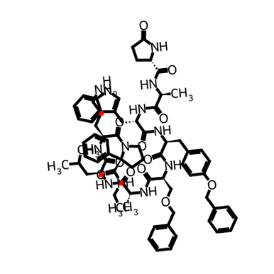 CCNC(=O)[C@]1(c2ccccc2)CCCN1C(=O)[C@H](CCCN)NC(=O)[C@H](CC(C)C)NC(=O)[C@@H](C)NC(=O)[C@H](COCc1ccccc1)NC(=O)[C@H](Cc1ccc(OCc2ccccc2)cc1)NC(=O)[C@H](Cc1c[nH]c2ccccc12)NC(=O)[C@H](C)NC(=O)[C@@H]1CCC(=O)N1